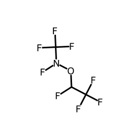 FC(ON(F)C(F)(F)F)C(F)(F)F